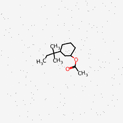 CCC(C)(C)C1CCCC(OC(C)=O)C1